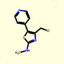 CNc1nc(CCl)c(-c2ccncc2)s1